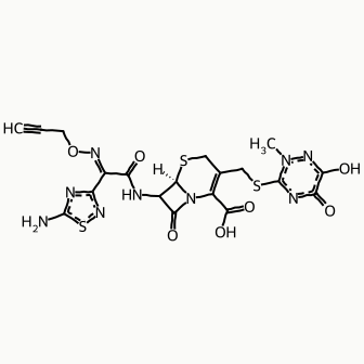 C#CCO/N=C(/C(=O)NC1C(=O)N2C(C(=O)O)=C(CSc3nc(=O)c(O)nn3C)CS[C@H]12)c1nsc(N)n1